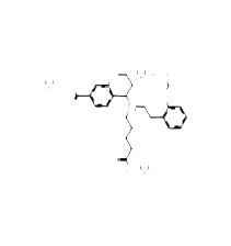 COCOc1ccccc1CCN(CCCCC(=O)OC)C1CCOc2cc(C(=O)OC)ccc21